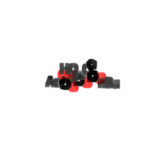 CCCCOc1cc(OCCCOC2=C(CCC)C(O)=C(C(C)=O)CC2)cc(C2(C(=O)O)CCCC2)c1